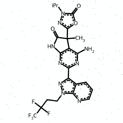 CC(C)n1nc(C2(C)C(=O)Nc3nc(-c4nn(CCC(F)(F)C(F)(F)F)c5ncccc45)nc(N)c32)oc1=O